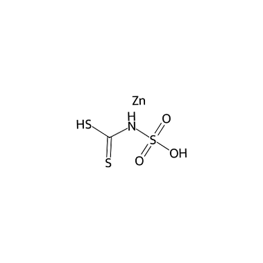 O=S(=O)(O)NC(=S)S.[Zn]